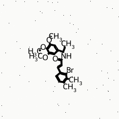 CCC(NC(=O)/C=C/c1ccc(C)c(C)c1Br)c1cc(OC)c(OC)c(OC)c1